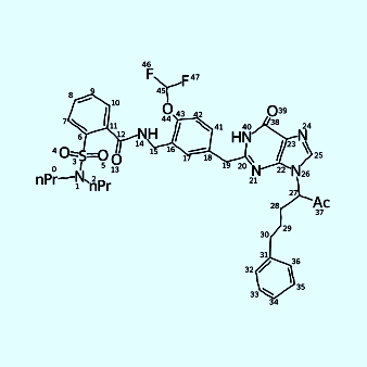 CCCN(CCC)S(=O)(=O)c1ccccc1C(=O)NCc1cc(Cc2nc3c(ncn3C(CCCc3ccccc3)C(C)=O)c(=O)[nH]2)ccc1OC(F)F